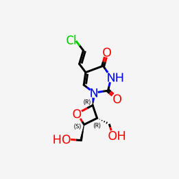 O=c1[nH]c(=O)n([C@@H]2O[C@H](CO)[C@H]2CO)cc1C=CCl